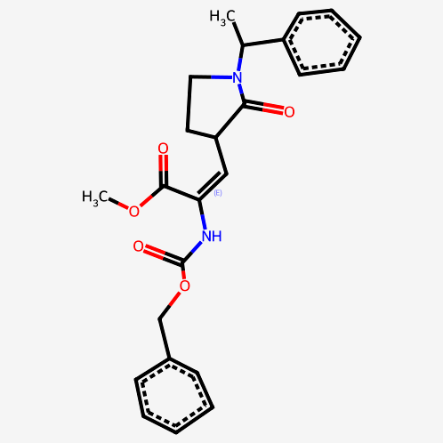 COC(=O)/C(=C\C1CCN(C(C)c2ccccc2)C1=O)NC(=O)OCc1ccccc1